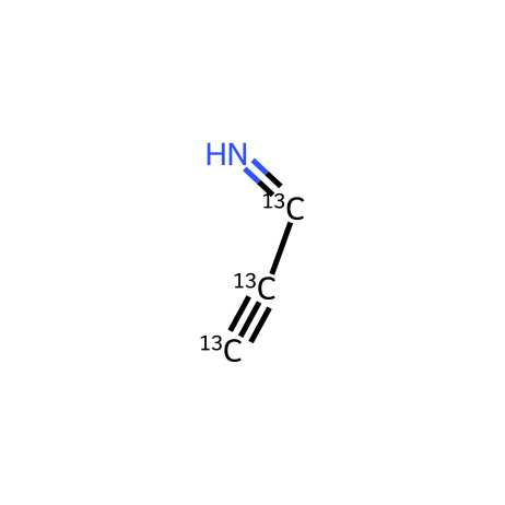 [13CH]#[13C][13CH]=N